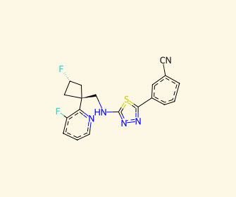 N#Cc1cccc(-c2nnc(NC[C@]3(c4ncccc4F)C[C@@H](F)C3)s2)c1